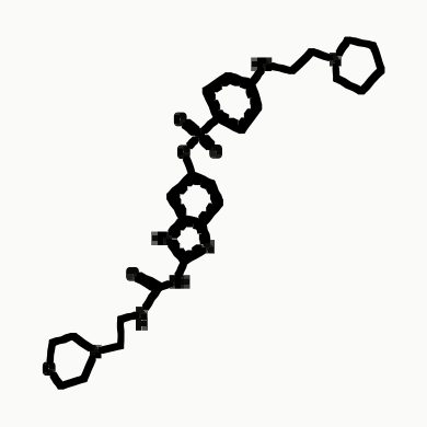 O=C(NCCN1CCOCC1)Nc1nc2ccc(OS(=O)(=O)c3ccc(NCCN4CCCCC4)cc3)cc2[nH]1